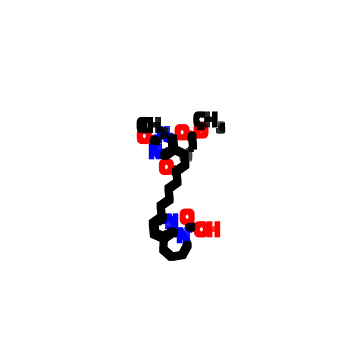 COC(=O)C[C@H](CC(=O)CCCCc1ccc2c(n1)N(C(=O)O)CCCC2)c1cnc(OC)nc1